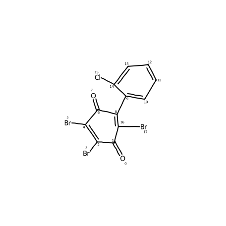 O=C1C(Br)=C(Br)C(=O)C(c2ccccc2Cl)=C1Br